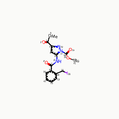 COC(=O)c1cc(NC(=O)c2ccccc2CI)n(C(=O)OC(C)(C)C)n1